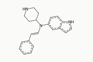 C(=CN(c1ccc2[nH]ccc2c1)C1CCNCC1)c1ccccc1